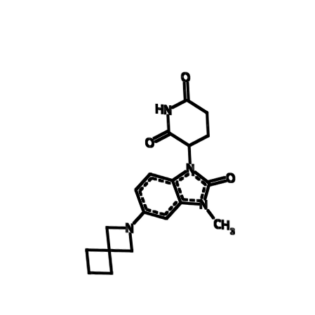 Cn1c(=O)n(C2CCC(=O)NC2=O)c2ccc(N3CC4(CCC4)C3)cc21